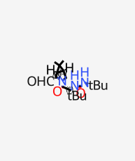 CC(C)(C)NC(=O)N[C@H](C(=O)N1C[C@H]2[C@@H]([C@H]1C=O)C2(C)C)C(C)(C)C